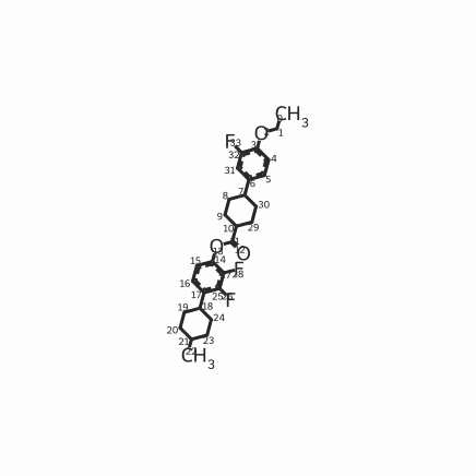 CCOc1ccc(C2CCC(C(=O)Oc3ccc(C4CCC(C)CC4)c(F)c3F)CC2)cc1F